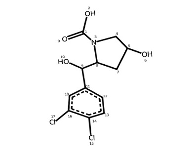 O=C(O)N1CC(O)CC1C(O)c1ccc(Cl)c(Cl)c1